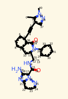 Cc1c(C#Cc2cccc3cc([C@H](C)NC(=O)c4c(N)nc5cccnn45)n(-c4ccccc4)c(=O)c23)cnn1C